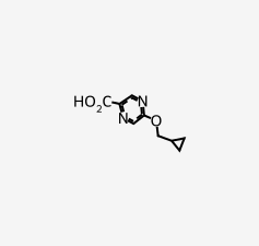 O=C(O)c1cnc(OCC2CC2)cn1